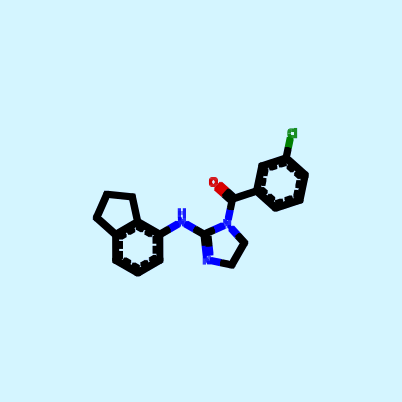 O=C(c1cccc(Cl)c1)N1CCN=C1Nc1cccc2c1CCC2